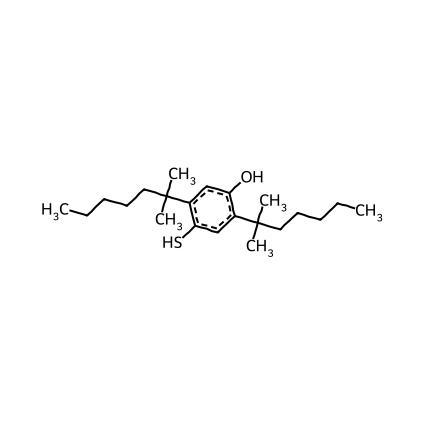 CCCCCC(C)(C)c1cc(S)c(C(C)(C)CCCCC)cc1O